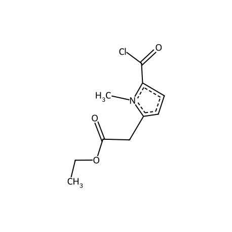 CCOC(=O)Cc1ccc(C(=O)Cl)n1C